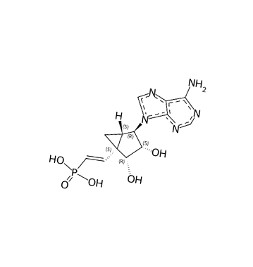 Nc1ncnc2c1ncn2[C@H]1[C@H](O)[C@H](O)[C@@]2(C=CP(=O)(O)O)C[C@H]12